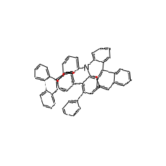 c1ccc(-c2cccc(N(c3cccc(-c4cc5ccccc5c5ccccc45)c3)c3ccccc3-c3cccc4ccccc34)c2-c2ccccc2)cc1